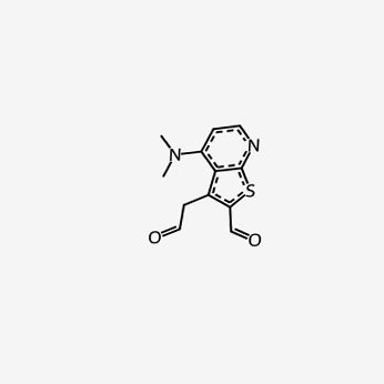 CN(C)c1ccnc2sc(C=O)c(CC=O)c12